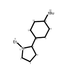 CCN1CCCC1C1CCC(C(C)(C)C)CC1